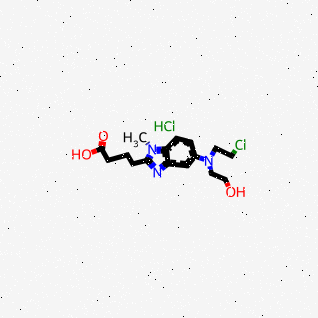 Cl.Cn1c(CCCC(=O)O)nc2cc(N(CCO)CCCl)ccc21